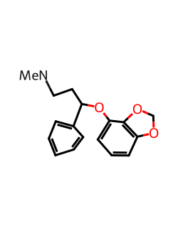 CNCCC(Oc1cccc2c1OCO2)c1ccccc1